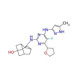 Cc1cc(Nc2nc(NC3C4CC5CC6(O)CC3C56C4)nc(C3CCCO3)c2F)n[nH]1